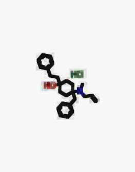 C=CCN(C)C1(Cc2ccccc2)CCC(O)(CCc2ccccc2)CC1.Cl